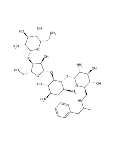 CC(Cc1ccccc1)NC[C@H]1O[C@H](O[C@H]2[C@H](O[C@@H]3O[C@H](CO)[C@@H](O[C@H]4O[C@@H](CN)[C@@H](O)[C@H](O)[C@H]4N)[C@H]3O)[C@@H](O)[C@H](N)C[C@@H]2N)[C@H](N)[C@@H](O)[C@@H]1O